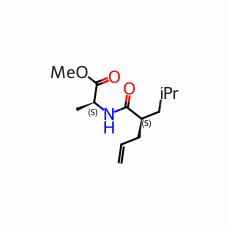 C=CC[C@H](CC(C)C)C(=O)N[C@@H](C)C(=O)OC